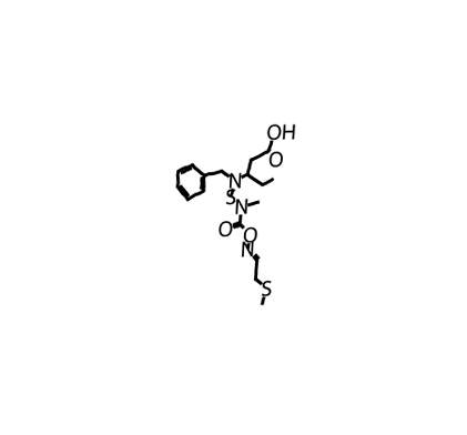 CCC(CC(=O)O)N(Cc1ccccc1)SN(C)C(=O)ON=CCSC